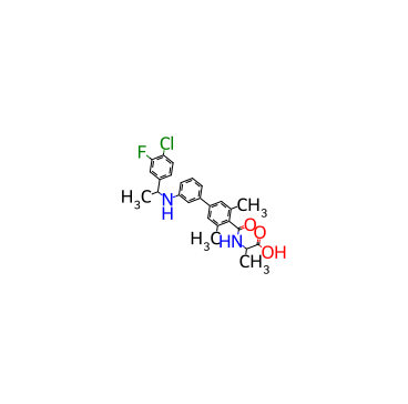 Cc1cc(-c2cccc(NC(C)c3ccc(Cl)c(F)c3)c2)cc(C)c1C(=O)NC(C)C(=O)O